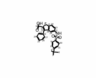 CC(C)(C)c1ccc(S(=O)(=O)Nc2ccc3sc(C(=O)O)c(-c4ccccc4)c3c2)cc1